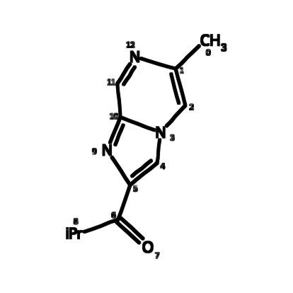 Cc1cn2cc(C(=O)C(C)C)nc2cn1